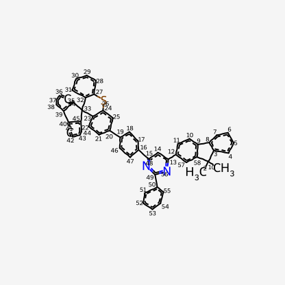 CC1(C)c2ccccc2-c2ccc(-c3cc(-c4ccc(-c5ccc6c(c5)Sc5ccccc5C65c6ccccc6-c6ccccc65)cc4)nc(-c4ccccc4)n3)cc21